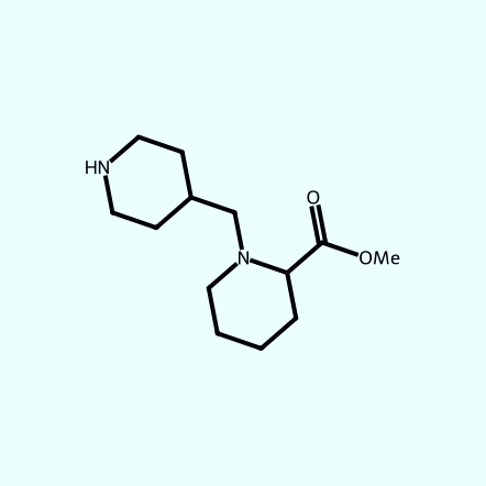 COC(=O)C1CCCCN1CC1CCNCC1